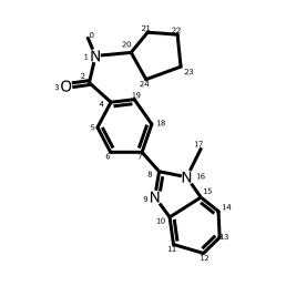 CN(C(=O)c1ccc(-c2nc3ccccc3n2C)cc1)C1CCCC1